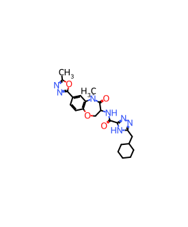 Cc1nnc(-c2ccc3c(c2)N(C)C(=O)C(NC(=O)c2nnc(CC4CCCCC4)[nH]2)CO3)o1